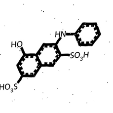 O=S(=O)(O)c1cc(O)c2cc(Nc3ccccc3)c(S(=O)(=O)O)cc2c1